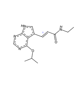 CCNC(=O)/C=C/c1c[nH]c2ncnc(OC(C)C)c12